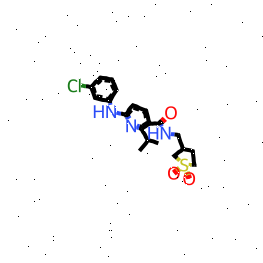 CC(C)c1nc(Nc2cccc(Cl)c2)ccc1C(=O)NCC1CCS(=O)(=O)C1